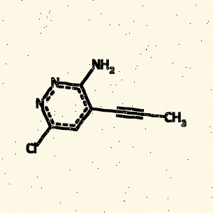 CC#Cc1cc(Cl)nnc1N